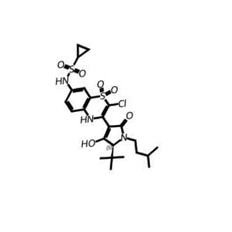 CC(C)CCN1C(=O)C(C2=C(Cl)S(=O)(=O)c3cc(NS(=O)(=O)C4CC4)ccc3N2)=C(O)[C@@H]1C(C)(C)C